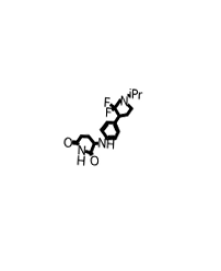 CC(C)N1CCC(c2ccc(NC3CCC(=O)NC3=O)cc2)C(F)(F)C1